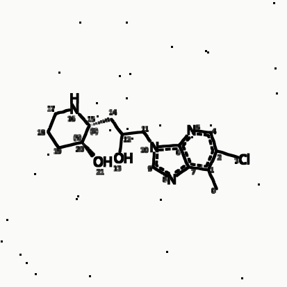 Cc1c(Cl)cnc2c1ncn2CC(O)C[C@H]1NCCC[C@@H]1O